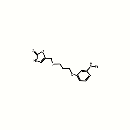 CCNc1cccc(OCCCSCc2c[nH]c(=O)o2)c1